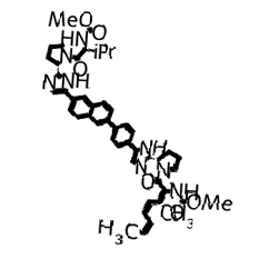 C\C=C/C=C\C(C)=C(\NC(=O)OC)C(=O)N1CCC[C@H]1c1ncc(-c2ccc(-c3ccc4cc(-c5cnc([C@@H]6CCCN6C(=O)[C@@H](NC(=O)OC)C(C)C)[nH]5)ccc4c3)cc2)[nH]1